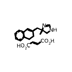 CC1(CC2=Cc3ccccc3CC2)CNC=N1.O=C(O)C=CC(=O)O